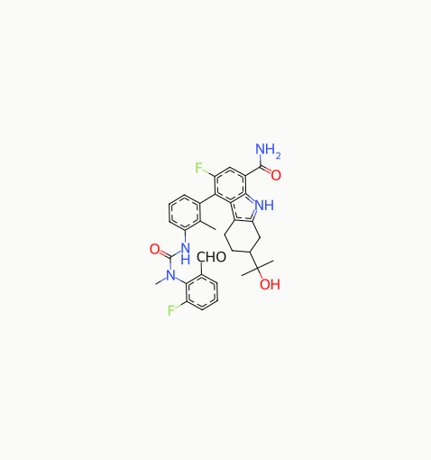 Cc1c(NC(=O)N(C)c2c(F)cccc2C=O)cccc1-c1c(F)cc(C(N)=O)c2[nH]c3c(c12)CCC(C(C)(C)O)C3